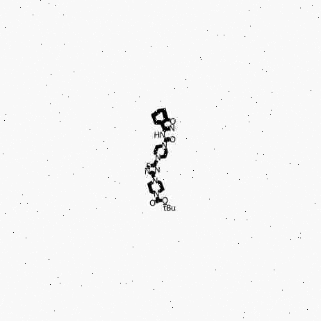 CC(C)(C)OC(=O)N1CCN(c2nsc(N3CCN(C(=O)Nc4noc5ccccc45)CC3)n2)CC1